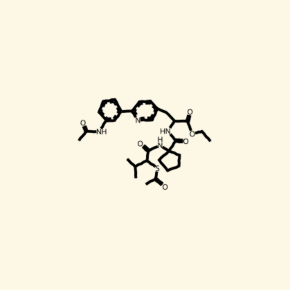 CCOC(=O)C(Cc1ccc(-c2cccc(NC(C)=O)c2)nc1)NC(=O)C1(NC(=O)C(SC(C)=O)C(C)C)CCCC1